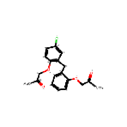 COC(=O)COc1ccccc1Cc1cc(Cl)ccc1OCC(=O)OC